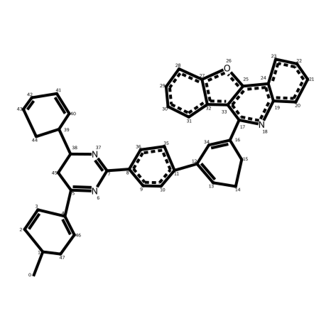 CC1C=CC(C2=NC(c3ccc(C4=CCCC(c5nc6ccccc6c6oc7ccccc7c56)=C4)cc3)=NC(C3C=CC=CC3)C2)=CC1